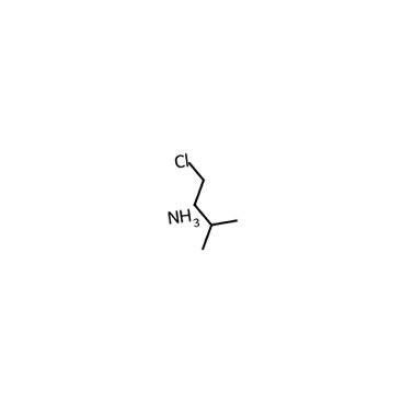 CC(C)CCCl.N